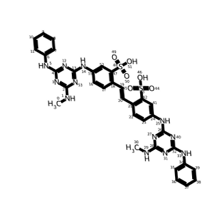 CNc1nc(Nc2ccccc2)nc(Nc2ccc(C=Cc3ccc(Nc4nc(NC)nc(Nc5ccccc5)n4)cc3S(=O)(=O)O)c(S(=O)(=O)O)c2)n1